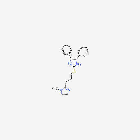 Cn1ccnc1CCCSc1nc(-c2ccccc2)c(-c2ccccc2)[nH]1